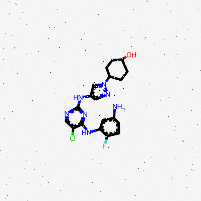 Nc1ccc(F)c(Nc2nc(Nc3cnn(C4CCC(O)CC4)c3)ncc2Cl)c1